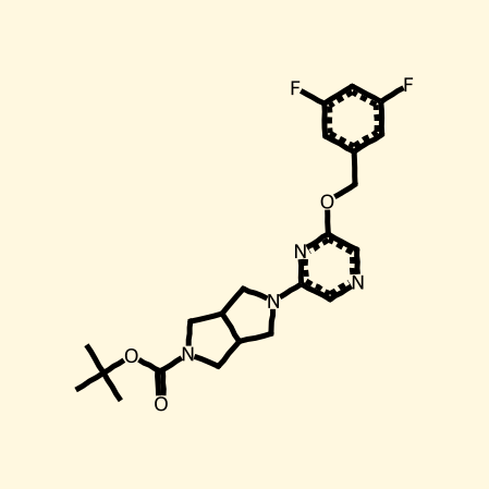 CC(C)(C)OC(=O)N1CC2CN(c3cncc(OCc4cc(F)cc(F)c4)n3)CC2C1